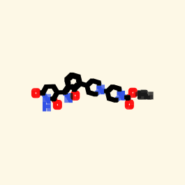 CC(C)(C)OC(=O)N1CCC(N2CCC(c3cccc4c(C5CCC(=O)NC5=O)noc34)CC2)CC1